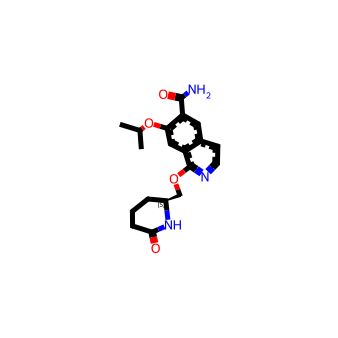 CC(C)Oc1cc2c(OC[C@@H]3CCCC(=O)N3)nccc2cc1C(N)=O